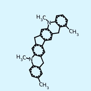 Cc1ccc2c(c1)Cc1cc3c(cc1N2C)Cc1cc2c(cc1-3)Cc1c(C)cccc1N2C